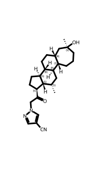 C[C@H]1C[C@H]2[C@@H](CC[C@@H]3C[C@@](C)(O)CCC[C@@H]32)[C@@H]2CC[C@H](C(=O)Cn3cc(C#N)cn3)[C@H]21